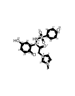 C[n+]1ccn(CC(=O)N(NS(=O)(=O)c2ccccc2)c2cc(O)ccc2Cl)c1.[Cl-]